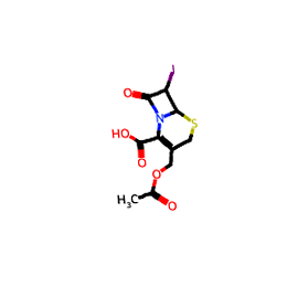 CC(=O)OCC1=C(C(=O)O)N2C(=O)C(I)C2SC1